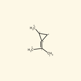 CC(C)=C1CC1C